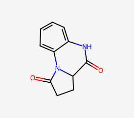 O=C1Nc2ccccc2N2C(=O)CCC12